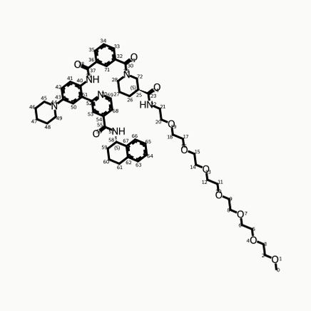 COCCOCCOCCOCCOCCOCCOCCNC(=O)[C@H]1CCCN(C(=O)c2cccc(C(=O)Nc3ccc(N4CCCCC4)cc3-c3cc(C(=O)N[C@H]4CCCc5ccccc54)ccn3)c2)C1